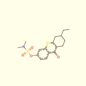 CCC1CCc2c(sc3cc(OS(=O)(=O)N(C)C)ccc3c2=O)C1